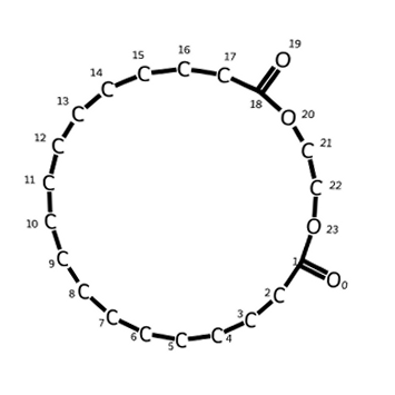 O=C1CCCCCCCCCCCCCCCCC(=O)OCCO1